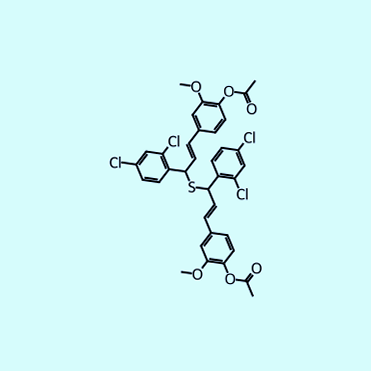 COc1cc(C=CC(SC(C=Cc2ccc(OC(C)=O)c(OC)c2)c2ccc(Cl)cc2Cl)c2ccc(Cl)cc2Cl)ccc1OC(C)=O